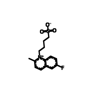 Cc1ccc2cc(F)ccc2[n+]1CCCCS(=O)(=O)[O-]